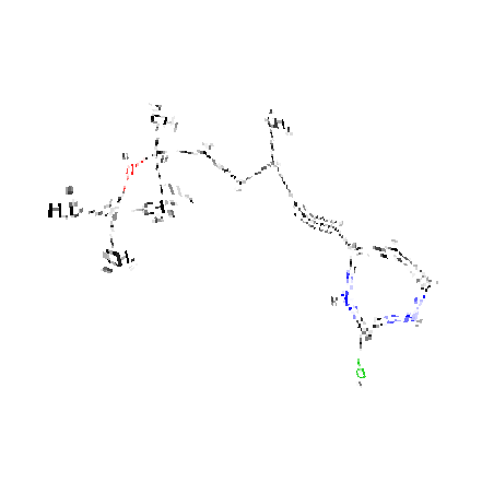 CC(C#Cc1ccnc(Cl)n1)CCC(C)(C)O[Si](C)(C)C